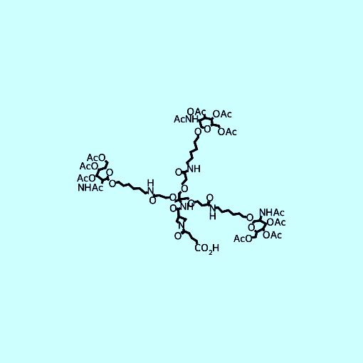 CC(=O)NC1C(OCCCCCCNC(=O)CCOCC(COCCC(=O)NCCCCCCOC2OC(COC(C)=O)C(OC(C)=O)C(OC(C)=O)C2NC(C)=O)(COCCC(=O)NCCCCCCOC2OC(COC(C)=O)C(OC(C)=O)C(OC(C)=O)C2NC(C)=O)NC(=O)C2CN(C(=O)CCCC(=O)O)C2)OC(COC(C)=O)C(OC(C)=O)C1OC(C)=O